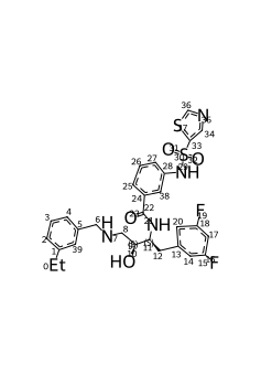 CCc1cccc(CNC[C@H](O)[C@H](Cc2cc(F)cc(F)c2)NC(=O)c2cccc(NS(=O)(=O)c3cncs3)c2)c1